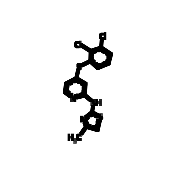 Cc1csc(Nc2cc(Sc3cccc(Cl)c3Cl)ccn2)n1